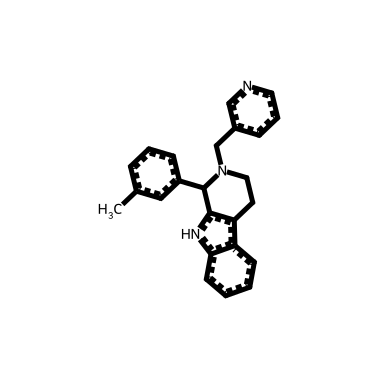 Cc1cccc(C2c3[nH]c4ccccc4c3CCN2Cc2cccnc2)c1